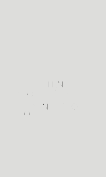 CC(C)(C)OC(=O)N1CCC(O)(C(N)Cc2ccccc2)C1